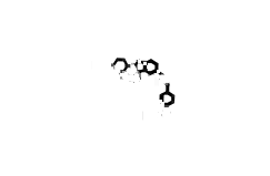 O=C(NCc1ccc2c(c1)C(O)N(C1CCC(O)NC1O)C2O)c1ccc(OC(F)(F)F)cc1